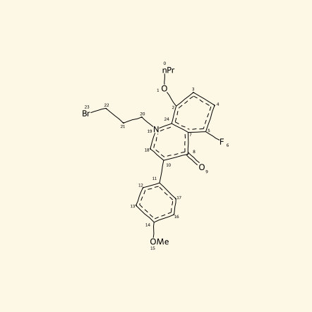 CCCOc1ccc(F)c2c(=O)c(-c3ccc(OC)cc3)cn(CCCBr)c12